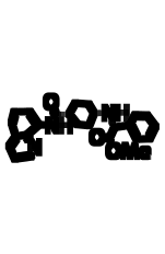 COC(=O)[C@@H](N[C@H]1CC[C@@H](C(=O)Nc2cccc3cccnc23)CC1)c1ccccc1